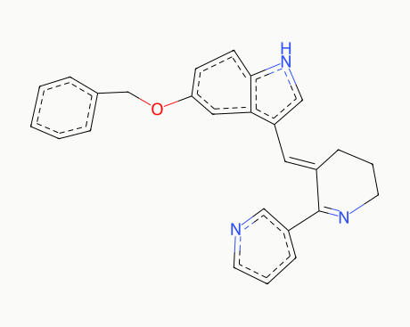 C(=C1CCCN=C1c1cccnc1)c1c[nH]c2ccc(OCc3ccccc3)cc12